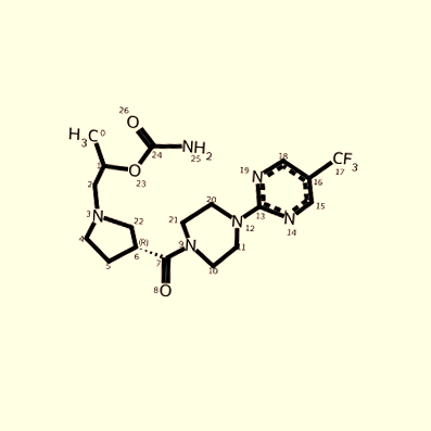 CC(CN1CC[C@@H](C(=O)N2CCN(c3ncc(C(F)(F)F)cn3)CC2)C1)OC(N)=O